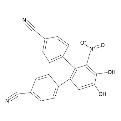 N#Cc1ccc(-c2cc(O)c(O)c([N+](=O)[O-])c2-c2ccc(C#N)cc2)cc1